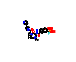 CC(=O)N1CC[C@H]2CC[C@@H](C(=O)N3CCC(c4cccnc4)C3)N2C(=O)[C@@H](NC(=O)c2ccc3ccc(C(F)P(=O)(O)O)cc3c2)C1